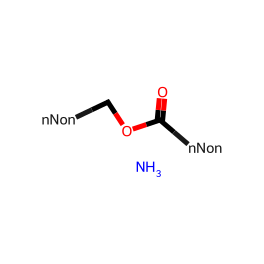 CCCCCCCCCCOC(=O)CCCCCCCCC.N